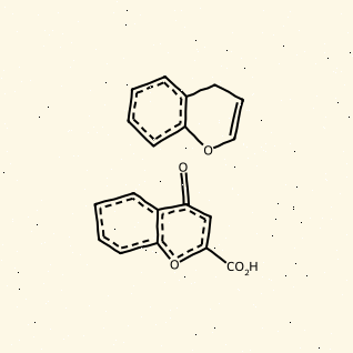 C1=COc2ccccc2C1.O=C(O)c1cc(=O)c2ccccc2o1